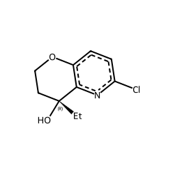 CC[C@@]1(O)CCOc2ccc(Cl)nc21